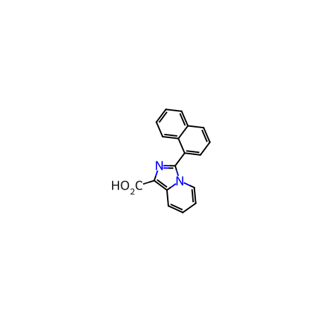 O=C(O)c1nc(-c2cccc3ccccc23)n2ccccc12